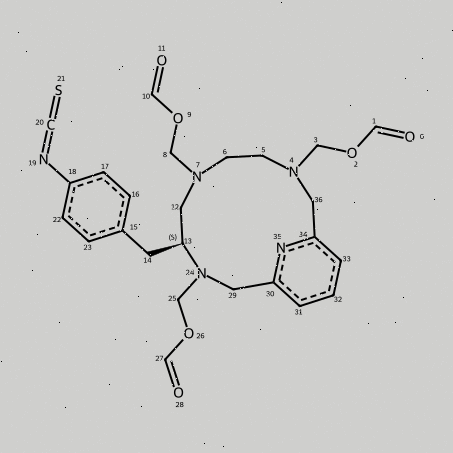 O=COCN1CCN(COC=O)C[C@H](Cc2ccc(N=C=S)cc2)N(COC=O)Cc2cccc(n2)C1